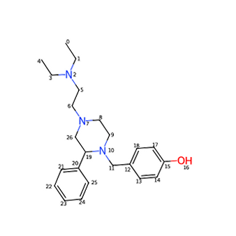 CCN(CC)CCN1CCN(Cc2ccc(O)cc2)C(c2ccccc2)C1